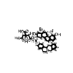 COc1c(O)ccc2ccc3c4c(c(Br)cc3c12)CC(O)C(OC)C4.O=C(O)CC(O)(CC(=O)O)C(=O)O.c1ccc2c(c1)CC1c3ccccc3CCN1C2